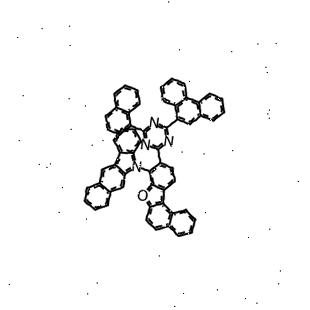 c1ccc2cc3c(cc2c1)c1ccccc1n3-c1c(-c2nc(-c3cccc4ccccc34)nc(-c3cc4ccccc4c4ccccc34)n2)ccc2c1oc1ccc3ccccc3c12